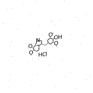 COc1cc(Cc2cncc3c(OC)c(OC)ccc23)cc(OC)c1O.Cl